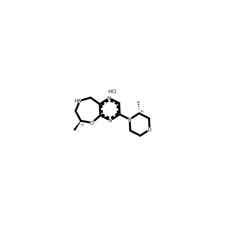 C[C@@H]1COCCN1c1cnc2c(n1)O[C@@H](C)CNC2.Cl